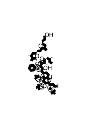 C=C1C[C@H](CCCO)OC1CC[C@H]1C[C@@H](C)C(=C)[C@@H](C[C@@H]2O[C@H](C[C@H](C)CC)[C@H](C)C2C(C(O)CC2CC[C@@H]3O[C@@H]([C@H](/C=C/I)O[Si](C)(C)C(C)(C)C)[C@@H](O[Si](C)(C)C(C)(C)C)[C@@H](O[Si](C)(C)C(C)(C)C)[C@H]3O2)S(=O)(=O)c2ccccc2)O1